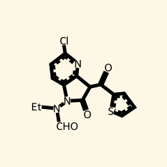 CCN(C=O)N1C(=O)C(C(=O)c2cccs2)c2nc(Cl)ccc21